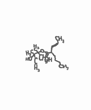 C/C=C/[C@@H](CCCC)B(O)OC(C)(C)C(C)(C)O